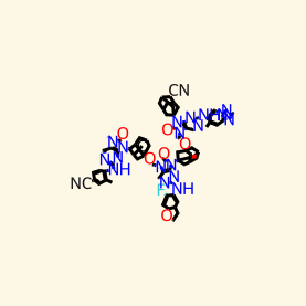 Cc1cc(C#N)ccc1Nc1ncc2c(n1)n(C1C3CC4CC5(OCn6c(=O)n(C78CC9CC(CC(OCn%10c(=O)n(C%11%12CC%13CC(C%11)C(C#N)C(C%13)C%12)c%11nc(Nc%12cn%13ncnc%13cc%12C)ncc%11%10)(C9)C7)C8)c7nc(NC8=CC9CCOC9C=C8F)ncc76)CC1C35C4)c(=O)n2C